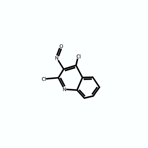 O=Nc1c(Cl)nc2ccccc2c1Cl